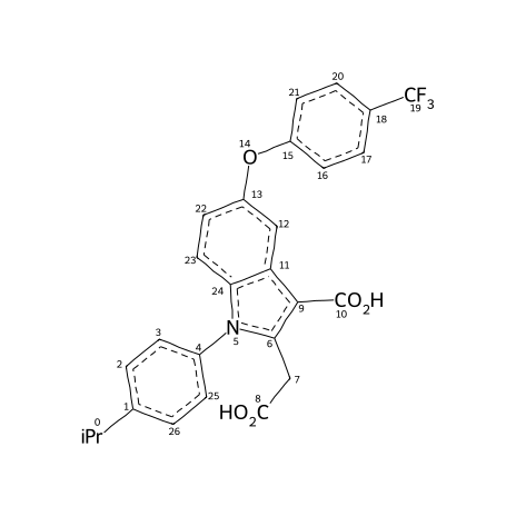 CC(C)c1ccc(-n2c(CC(=O)O)c(C(=O)O)c3cc(Oc4ccc(C(F)(F)F)cc4)ccc32)cc1